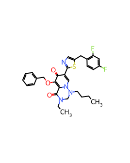 CCCCN1CN(CC)C(=O)c2c(OCc3ccccc3)c(=O)c(-c3ncc(Cc4ccc(F)cc4F)s3)cn21